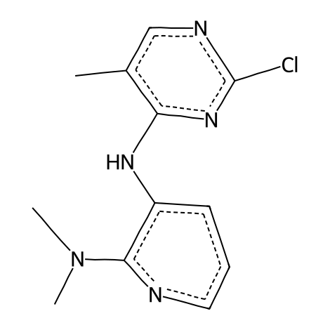 Cc1cnc(Cl)nc1Nc1cccnc1N(C)C